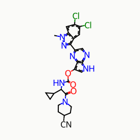 Cn1nc(-c2cnc3[nH]cc(OC(=O)N[C@@H](C(=O)N4CCC(C#N)CC4)C4CC4)c3n2)c2cc(Cl)c(Cl)cc21